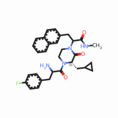 CNC(=O)C(Cc1ccc2ccccc2c1)N1CCN(C(=O)C(N)Cc2ccc(F)cc2)[C@@H](CC2CC2)C1=O